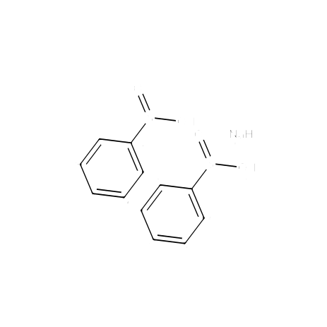 O=S(O)c1ccccc1.O=S(O)c1ccccc1.[NaH]